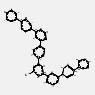 N#Cc1cc(-c2ccc(-c3cccc(-c4ccc(-c5ccccc5)cc4)c3)cc2)cc(-c2cccc(C3C=CC(c4ccccc4)=CC3)c2)c1